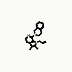 C=CCn1c(C)c(C)c2ccnc(N3CCc4ccccc4C3)c21